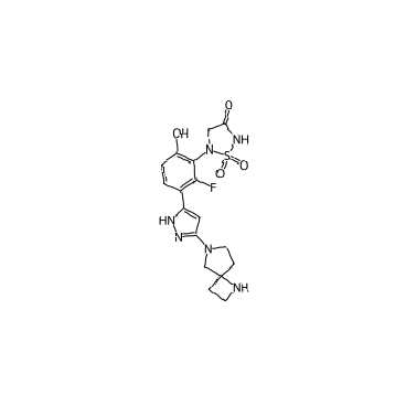 O=C1CN(c2c(O)ccc(-c3cc(N4CCC5(CCN5)C4)n[nH]3)c2F)S(=O)(=O)N1